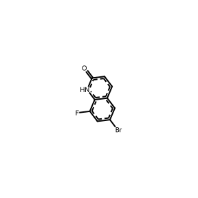 O=c1ccc2cc(Br)cc(F)c2[nH]1